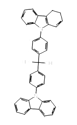 CC(C)(c1ccc(-n2c3c(c4ccccc42)CCC=C3)cc1)c1ccc(-n2c3ccccc3c3ccccc32)cc1